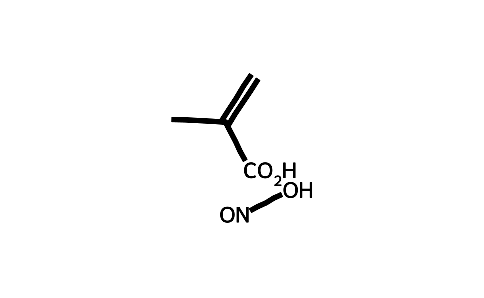 C=C(C)C(=O)O.O=NO